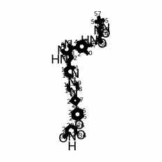 Cc1cc(-c2ncnc3[nH]c(-c4ccc(N5CCN([C@H]6C[C@@H](c7ccc(O[C@H]8CCC(=O)NC8=O)cc7)C6)CC5)nc4)cc23)ccc1CNC(=O)c1nc(C(C)(C)C)no1